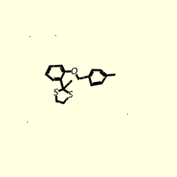 Cc1ccc(COc2ccccc2C2(C)SCCS2)cc1